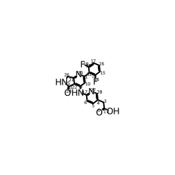 O=C(O)Cc1ccc(Nc2cc(-c3c(F)cccc3F)nc3c2C(=O)NC3)nc1